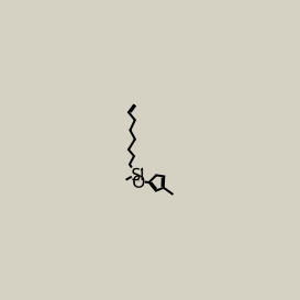 C=CCCCCCC[Si](C)(C)OC1=CC(C)=CC1